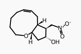 O=[N+]([O-])C[C@@H]1[C@H]2C/C=C\CCCCO[C@H]2C[C@H]1O